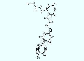 CCCCCC1CCCCC1CCCOc1ccc(-c2cnc(C)cn2)cc1